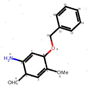 COC1=CC([C]=O)C(N)=C[C]1OCc1ccccc1